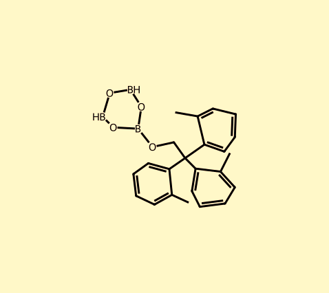 Cc1ccccc1C(COB1OBOBO1)(c1ccccc1C)c1ccccc1C